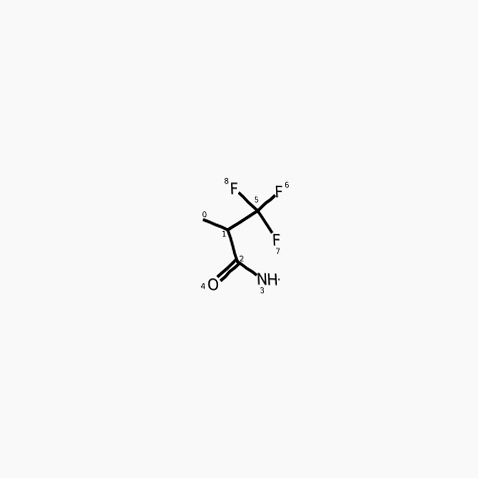 CC(C([NH])=O)C(F)(F)F